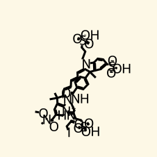 CON(C)C(=O)c1cc2c([n+](CCCS(=O)(=O)O)c1)N=C(/C=C/C=C/C=C1/N(CCCS(=O)(=O)O)c3ccc(S(=O)(=O)O)cc3C1(C)c1ccc(C(=O)NCCNC(=O)CI)cc1)C2(C)C